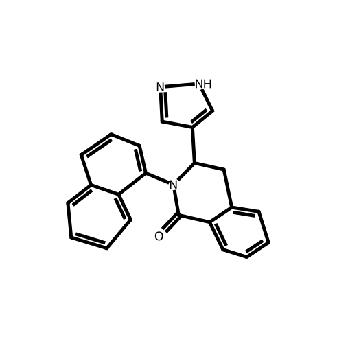 O=C1c2ccccc2CC(c2cn[nH]c2)N1c1cccc2ccccc12